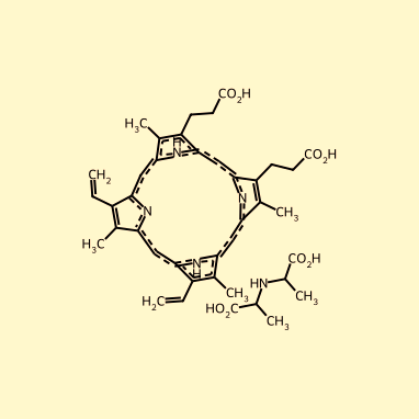 C=CC1=C(C)c2cc3[nH]c(cc4nc(cc5[nH]c(cc1n2)c(C)c5CCC(=O)O)C(CCC(=O)O)=C4C)c(C)c3C=C.CC(NC(C)C(=O)O)C(=O)O